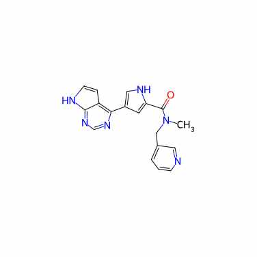 CN(Cc1cccnc1)C(=O)c1cc(-c2ncnc3[nH]ccc23)c[nH]1